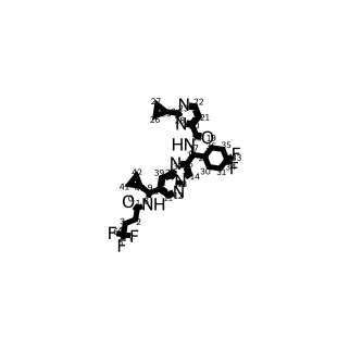 O=C(CCC(F)(F)F)NC(c1cnn2cc([C@@H](NC(=O)c3ccnc(C4CC4)n3)C3CCC(F)(F)CC3)nc2c1)C1CC1